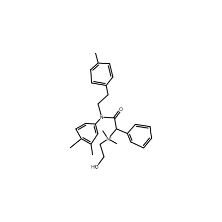 Cc1ccc(CCN(C(=O)C(c2ccccc2)[N+](C)(C)CCO)c2ccc(C)c(C)c2)cc1